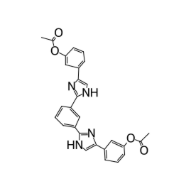 CC(=O)Oc1cccc(-c2c[nH]c(-c3cccc(-c4nc(-c5cccc(OC(C)=O)c5)c[nH]4)c3)n2)c1